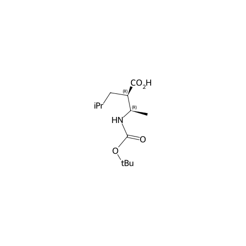 CC(C)C[C@@H](C(=O)O)[C@@H](C)NC(=O)OC(C)(C)C